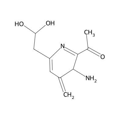 C=C1C=C(CC(O)O)N=C(C(C)=O)C1N